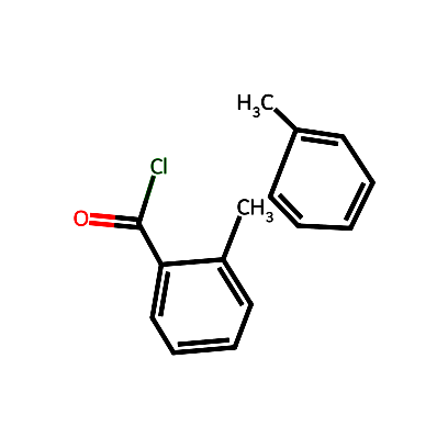 Cc1ccccc1.Cc1ccccc1C(=O)Cl